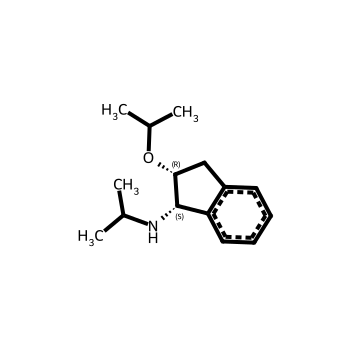 CC(C)N[C@H]1c2ccccc2C[C@H]1OC(C)C